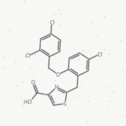 O=C(O)c1csc(Cc2cc(Cl)ccc2OCc2ccc(Cl)cc2Cl)n1